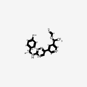 C[C@@H](Nc1ncc(-c2cncc(C(OC=S)C(F)(F)F)c2)nn1)c1ccc(F)cc1